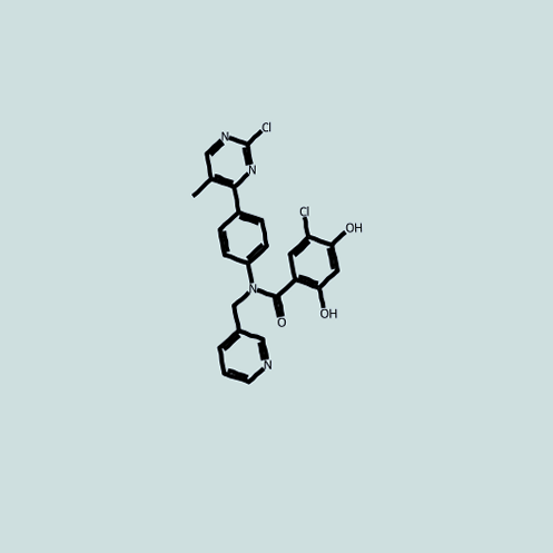 Cc1cnc(Cl)nc1-c1ccc(N(Cc2cccnc2)C(=O)c2cc(Cl)c(O)cc2O)cc1